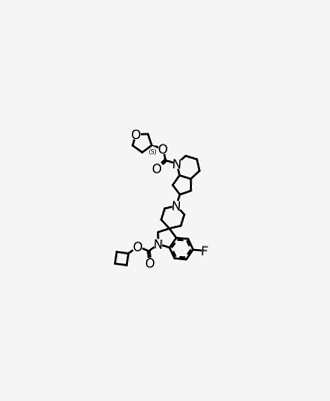 O=C(OC1CCC1)N1CC2(CCN(C3CC4CCCN(C(=O)O[C@H]5CCOC5)C4C3)CC2)c2cc(F)ccc21